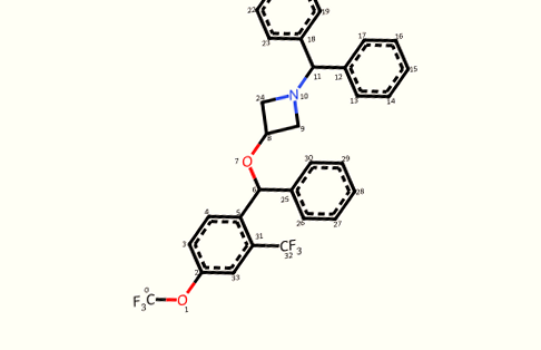 FC(F)(F)Oc1ccc(C(OC2CN(C(c3ccccc3)c3ccccc3)C2)c2ccccc2)c(C(F)(F)F)c1